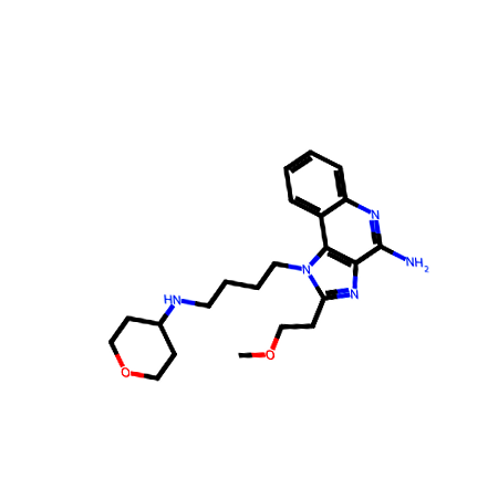 COCCc1nc2c(N)nc3ccccc3c2n1CCCCNC1CCOCC1